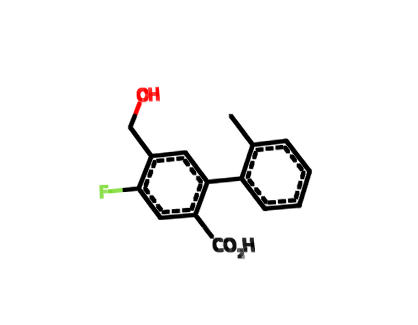 Cc1ccccc1-c1cc(CO)c(F)cc1C(=O)O